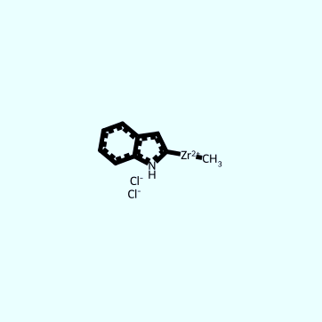 [CH3][Zr+2][c]1cc2ccccc2[nH]1.[Cl-].[Cl-]